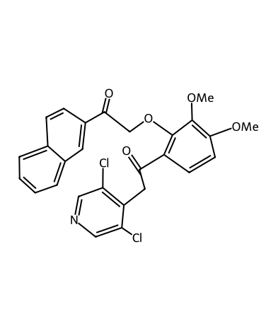 COc1ccc(C(=O)Cc2c(Cl)cncc2Cl)c(OCC(=O)c2ccc3ccccc3c2)c1OC